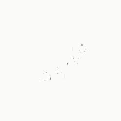 CCn1cc(-c2ccc(Cl)cc2Cl)nc1/C=C/c1ccc(-c2ccc(O)cc2)cc1F